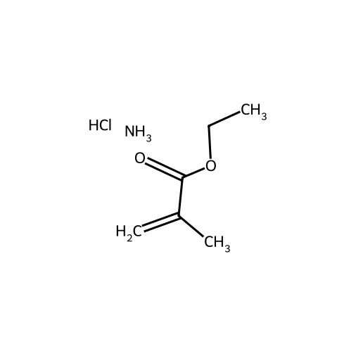 C=C(C)C(=O)OCC.Cl.N